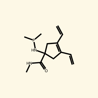 C=CC1=C(C=C)CC(NP(C)C)(C(=O)NC)C1